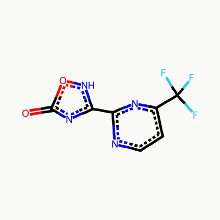 O=c1nc(-c2nccc(C(F)(F)F)n2)[nH]o1